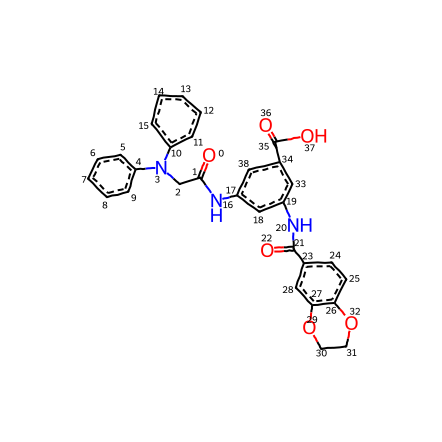 O=C(CN(c1ccccc1)c1ccccc1)Nc1cc(NC(=O)c2ccc3c(c2)OCCO3)cc(C(=O)O)c1